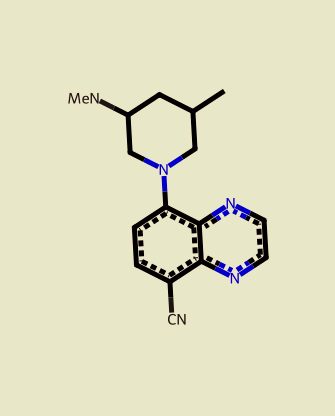 CNC1CC(C)CN(c2ccc(C#N)c3nccnc23)C1